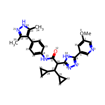 COc1cncc(-c2nnc(C(C(=O)Nc3ccc(-c4c(C)n[nH]c4C)cc3)C(C3CC3)C3CC3)[nH]2)c1